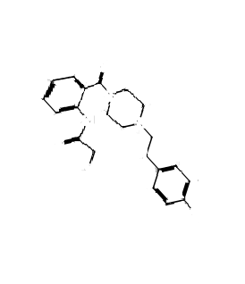 O=C(CCl)Nc1ccccc1C(=O)N1CCN(CCc2ccc(Cl)cc2)CC1